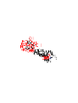 C/C=C(/C)C(=O)O[C@H]1[C@H](OC(C)=O)[C@@]2(CO)C(CC1(C)C)C1=CCC3[C@@]4(C)CC[C@H](O[C@@H]5OC(C(=O)O)[C@@H](O[C@@H]6OC(CO)[C@@H](O)[C@@H](O)C6O)CC5O[C@@H]5OC(CO)[C@@H](O)[C@@H](O)C5O)[C@@](C)(CO)C4CC[C@@]3(C)[C@]1(C)C[C@H]2O